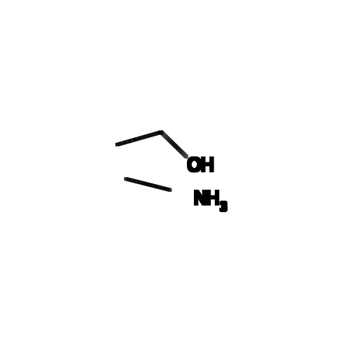 CC.CCO.N